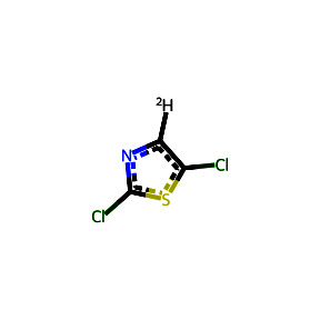 [2H]c1nc(Cl)sc1Cl